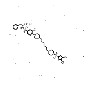 O=C(O)C(Cc1ccccc1)NS(=O)(=O)c1cnc(N2CCC(CCCCCCC3CCN(S(=O)(=O)c4cc(Br)c(Cl)s4)CC3)CC2)c(Cl)c1